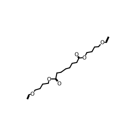 C=COCCCCOC(=O)CCCCCCC(=O)OCCCCOC=C